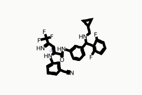 N#Cc1cccc(N/C(=C\C(=N)C(F)(F)F)C(=O)Nc2cccc(C(NCC3CC3)c3c(F)cccc3F)c2)c1